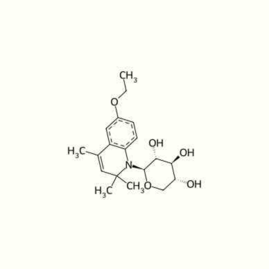 CCOc1ccc2c(c1)C(C)=CC(C)(C)N2[C@@H]1OC[C@@H](O)[C@H](O)[C@H]1O